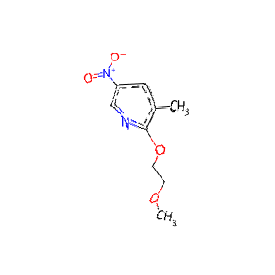 COCCOc1ncc([N+](=O)[O-])cc1C